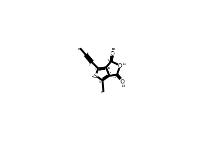 CC#Cc1sc(C)c2c1C(=O)OC2=O